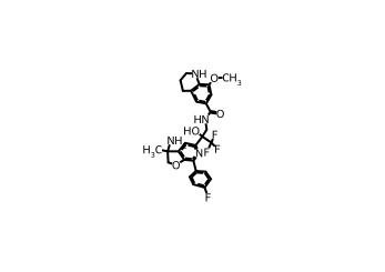 COc1cc(C(=O)NCC(O)(c2cc3c(c(-c4ccc(F)cc4)n2)OCC3(C)N)C(F)(F)F)cc2c1NCCC2